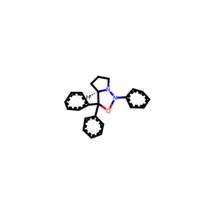 c1ccc(N2OC(c3ccccc3)(c3ccccc3)[C@H]3CCCN32)cc1